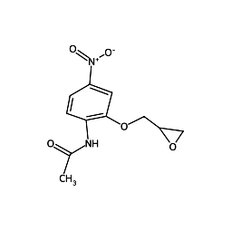 CC(=O)Nc1ccc([N+](=O)[O-])cc1OCC1CO1